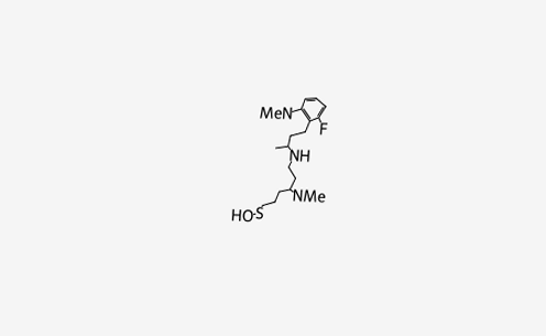 CNc1cccc(F)c1CCC(C)NCCC(CCCSO)NC